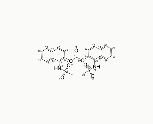 CS(=O)(=O)Nc1c(OC(=O)Oc2ccc3ccccc3c2NS(C)(=O)=O)ccc2ccccc12